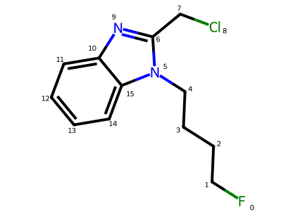 FCCCCn1c(CCl)nc2ccccc21